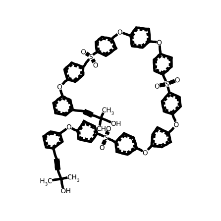 CC(C)(O)C#Cc1cccc(Oc2ccc(S(=O)(=O)c3ccc(Oc4ccc(Oc5ccc(S(=O)(=O)c6ccc(Oc7ccc(Oc8ccc(S(=O)(=O)c9ccc(Oc%10cccc(C#CC(C)(C)O)c%10)cc9)cc8)cc7)cc6)cc5)cc4)cc3)cc2)c1